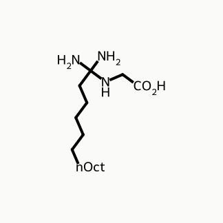 CCCCCCCCCCCCCC(N)(N)NCC(=O)O